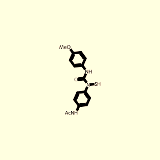 COc1ccc(NC(=O)N(S)c2ccc(NC(C)=O)cc2)cc1